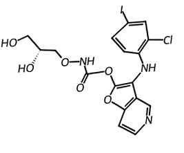 O=C(NOC[C@H](O)CO)Oc1oc2ccncc2c1Nc1ccc(I)cc1Cl